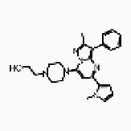 Cc1nn2c(N3CCN(CCO)CC3)cc(-c3cccn3C)nc2c1-c1ccccc1